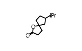 CC(C)C1CCC2(CCC(=O)O2)C1